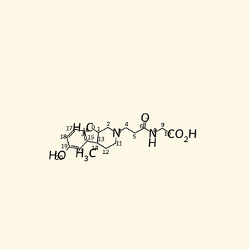 CC1CN(CCC(=O)NCC(=O)O)CC[C@@]1(C)c1cccc(O)c1